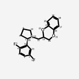 Fc1ccc(F)c([C@H]2CCCN2[CH]C2COc3ccccc3O2)c1